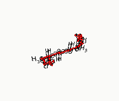 CN(CCCCNC(=O)NCCOCCOCCNC(=O)NCCOCCOCCNC(=O)NCCCCN(C)S(=O)(=O)c1ccc(Cl)c(COC2(c3cnccc3-c3ccccc3OC3CC3)CC2)c1)S(=O)(=O)c1ccc(Cl)c(COC2(c3cnccc3-c3ccccc3OC3CC3)CC2)c1